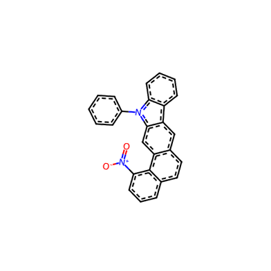 O=[N+]([O-])c1cccc2ccc3cc4c5ccccc5n(-c5ccccc5)c4cc3c12